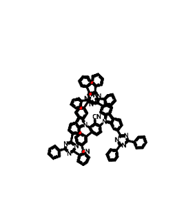 N#Cc1cccc(-c2ccc(-n3c4cc(-c5nc(-c6ccccc6)nc(-c6ccccc6)n5)ccc4c4ccc(-c5nc(-c6ccccc6)nc(-c6ccccc6)n5)cc43)c(C#N)c2-n2c3cc(-c4nc(-c5ccccc5)nc(-c5ccccc5)n4)ccc3c3ccc(-c4nc(-c5ccccc5)nc(-c5ccccc5)n4)cc32)c1